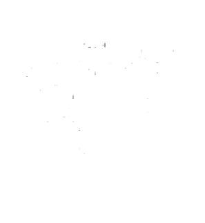 C=CCCC(=O)Nc1ccccc1-c1nnc(C(CC=C)NC(=O)O)o1